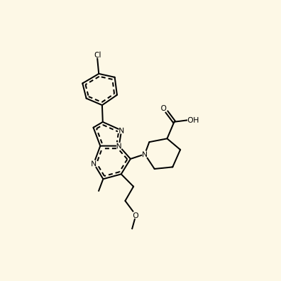 COCCc1c(C)nc2cc(-c3ccc(Cl)cc3)nn2c1N1CCCC(C(=O)O)C1